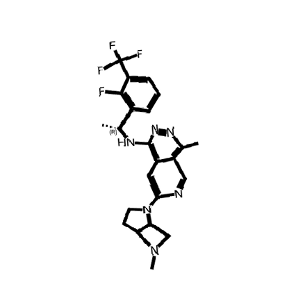 Cc1nnc(N[C@H](C)c2cccc(C(F)(F)F)c2F)c2cc(N3CCC4C3CN4C)ncc12